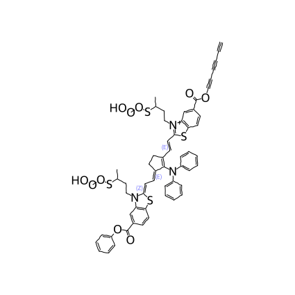 C#CC#CC#COC(=O)c1ccc2sc(/C=C/C3=C(N(c4ccccc4)c4ccccc4)C(=C/C=C4\Sc5ccc(C(=O)Oc6ccccc6)cc5N4CCC(C)SOOO)/CC3)[n+](CCC(C)SOOO)c2c1